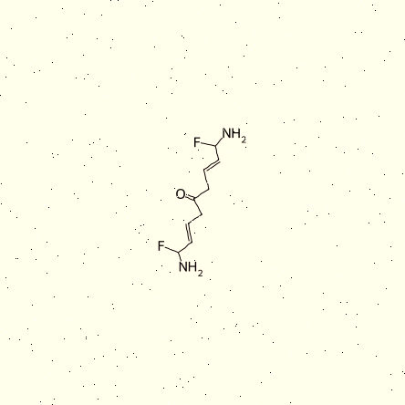 NC(F)C=CCC(=O)CC=CC(N)F